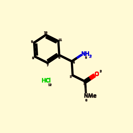 CNC(=O)CC(N)c1ccccc1.Cl